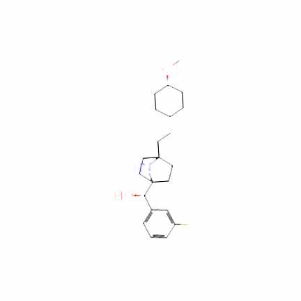 CO[C@H]1CC[C@H](CCC23CCC([C@H](O)c4cccc(F)c4)(CC2)N3)CC1